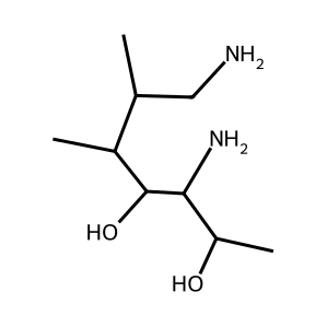 CC(O)C(N)C(O)C(C)C(C)CN